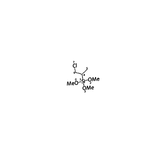 CO[Si](OC)(OC)C(C)CCl